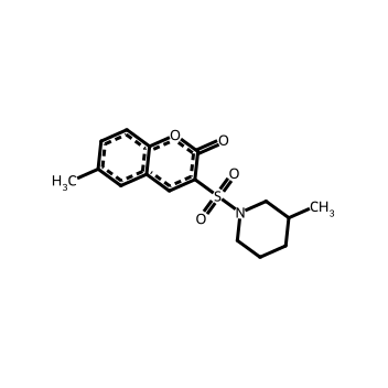 Cc1ccc2oc(=O)c(S(=O)(=O)N3CCCC(C)C3)cc2c1